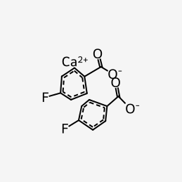 O=C([O-])c1ccc(F)cc1.O=C([O-])c1ccc(F)cc1.[Ca+2]